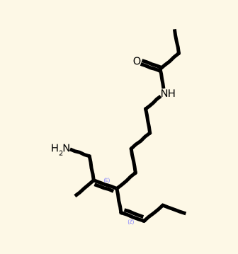 CC/C=C\C(CCCCNC(=O)CC)=C(/C)CN